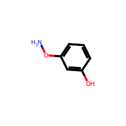 NOc1cccc(O)c1